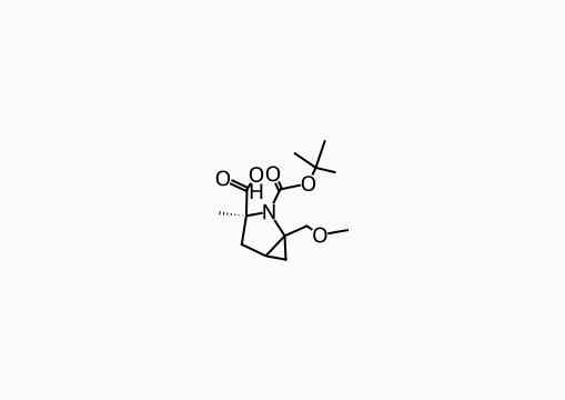 COCC12CC1C[C@@](C)(C(=O)O)N2C(=O)OC(C)(C)C